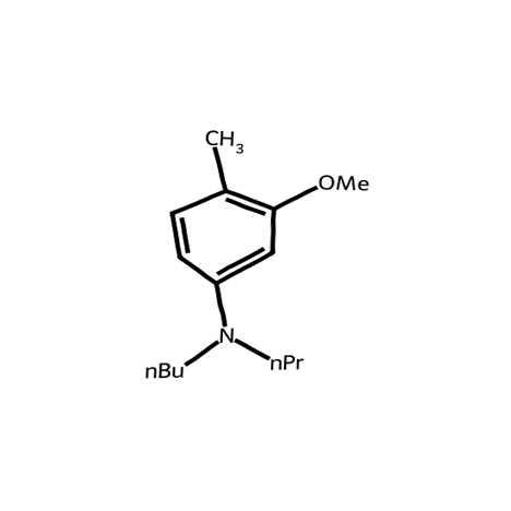 CCCCN(CCC)c1ccc(C)c(OC)c1